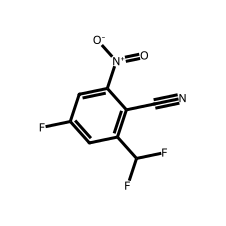 N#Cc1c(C(F)F)cc(F)cc1[N+](=O)[O-]